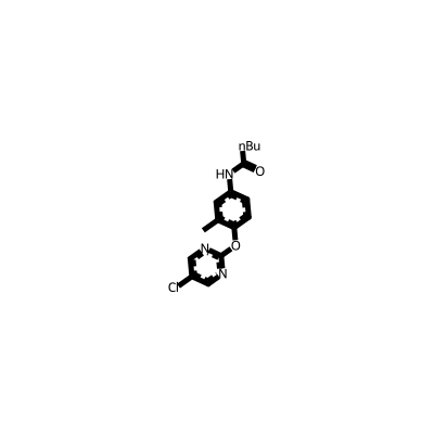 CCCCC(=O)Nc1ccc(Oc2ncc(Cl)cn2)c(C)c1